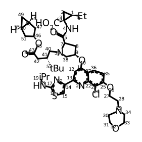 CC[C@@H]1C[C@]1(NC(=O)C1C[C@@H](Oc2cc(-c3csc(NC(C)C)n3)nc3c(Cl)c(OCCN4CCOCC4)ccc23)CN1C[C@@H](CC(=O)O[C@@H]1C[C@@H]2C[C@@H]2C1)C(C)(C)C)C(=O)O